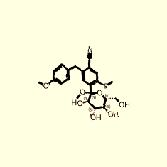 COc1ccc(Cc2cc([C@]3(OC)O[C@H](CO)[C@@H](O)[C@H](O)[C@H]3O)c(SC)cc2C#N)cc1